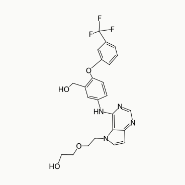 OCCOCCn1ccc2ncnc(Nc3ccc(Oc4cccc(C(F)(F)F)c4)c(CO)c3)c21